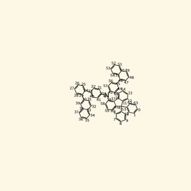 c1ccc(C2(c3ccccc3)c3ccccc3-c3c(N(c4ccc(-c5ccccc5-c5ccc6ccccc6c5)cc4)c4ccc(-c5cccc6ccccc56)cc4)cccc32)cc1